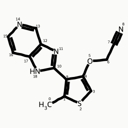 Cc1scc(OCC#N)c1-c1nc2cnccc2[nH]1